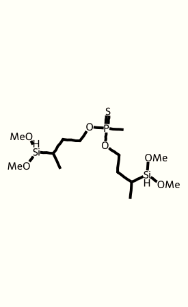 CO[SiH](OC)C(C)CCOP(C)(=S)OCCC(C)[SiH](OC)OC